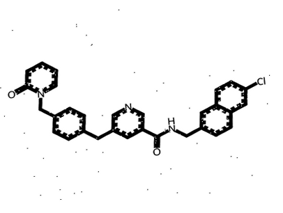 O=C(NCc1ccc2cc(Cl)ccc2c1)c1cncc(Cc2ccc(Cn3ccccc3=O)cc2)c1